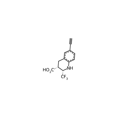 C#Cc1ccc2c(c1)C[C@@H](C(=O)O)[C@@H](C(F)(F)F)N2